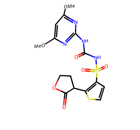 COc1cc(OC)nc(NC(=O)NS(=O)(=O)c2ccsc2C2CCOC2=O)n1